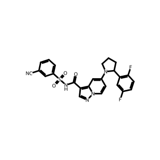 N#Cc1cccc(S(=O)(=O)NC(=O)c2cnn3ccc(N4CCCC4c4cc(F)ccc4F)cc23)c1